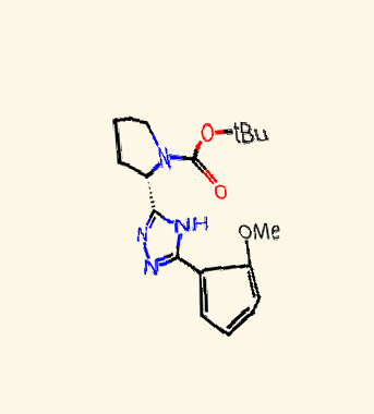 COc1ccccc1-c1nnc([C@@H]2CCCN2C(=O)OC(C)(C)C)[nH]1